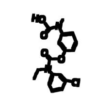 CCN(C(=O)Oc1cccc(N(C)C(=O)O)c1)c1cccc(Cl)c1